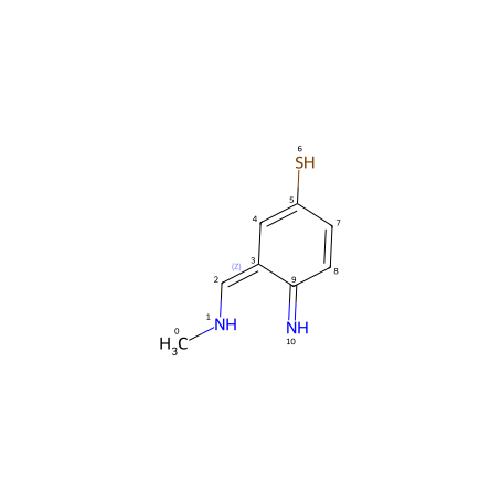 CN/C=C1/C=C(S)C=CC1=N